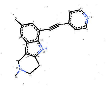 Cc1cc(C#Cc2ccncc2)c2[nH]c3c(c2c1)CN(C)CC3